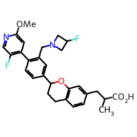 COc1cc(-c2ccc(C3CCc4ccc(CC(C)C(=O)O)cc4O3)cc2CN2CC(F)C2)c(F)cn1